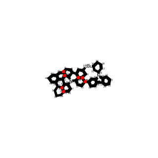 CC(C)(C)c1cc(-c2ccccc2N(c2ccc(-c3ccc4c5ccccc5n(C5C=CC=CC5)c4c3)cc2)c2ccccc2-c2cccc3cccc(C4CCCCC4)c23)cc(C(C)(C)C)c1